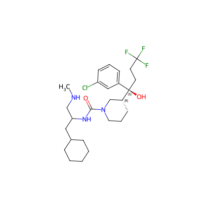 CNCC(CC1CCCCC1)NC(=O)N1CCC[C@@H]([C@@](O)(CCC(F)(F)F)c2cccc(Cl)c2)C1